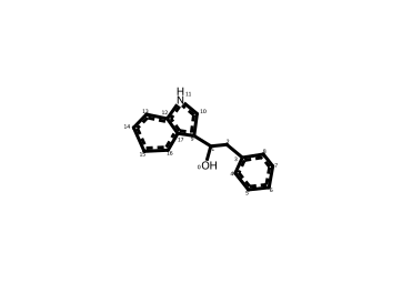 OC(Cc1ccccc1)c1c[nH]c2ccccc12